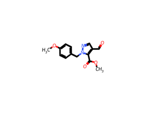 COC(=O)c1c(C=O)cnn1Cc1ccc(OC)cc1